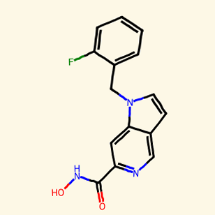 O=C(NO)c1cc2c(ccn2Cc2ccccc2F)cn1